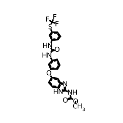 COC(=O)Nc1nc2cc(Oc3cccc(NC(=O)Nc4cccc(SC(F)(F)F)c4)c3)ccc2[nH]1